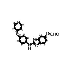 O=COc1ccc2oc(Nc3ccc(Sc4ccncc4)cc3)nc2c1